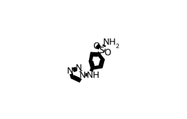 NS(=O)(=O)c1ccc(Nn2ccnn2)cc1